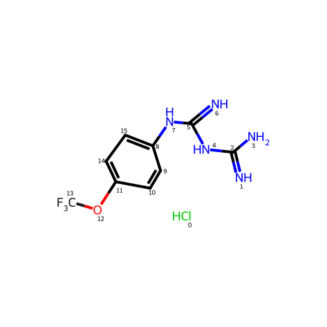 Cl.N=C(N)NC(=N)Nc1ccc(OC(F)(F)F)cc1